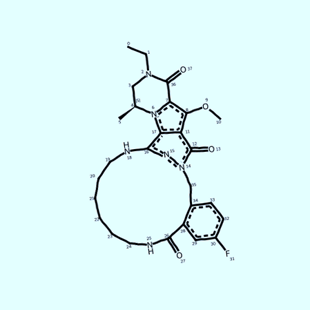 CCN1C[C@H](C)n2c(c(OC)c3c(=O)n4nc(c32)NCCCCCCNC(=O)c2cc(F)ccc2C4)C1=O